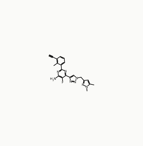 C#Cc1cccc(-c2nc(N)c(F)c(-c3cn(Cc4cc(C)n(C)n4)nn3)n2)c1C